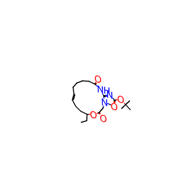 CCC1CC/C=C/CCCCC(=O)N/C(=N/C(=O)OC(C)(C)C)N(C)CC(=O)O1